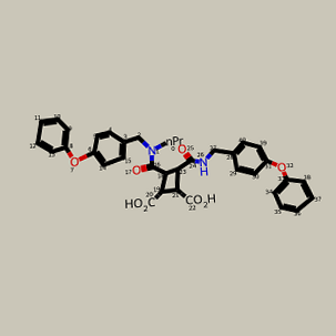 CCCN(Cc1ccc(Oc2ccccc2)cc1)C(=O)C1C(C(=O)O)C(C(=O)O)C1C(=O)NCc1ccc(Oc2ccccc2)cc1